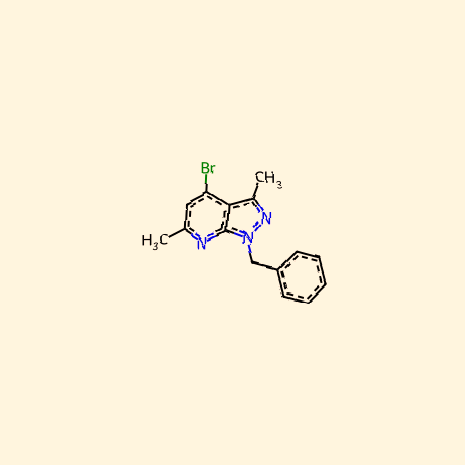 Cc1cc(Br)c2c(C)nn(Cc3ccccc3)c2n1